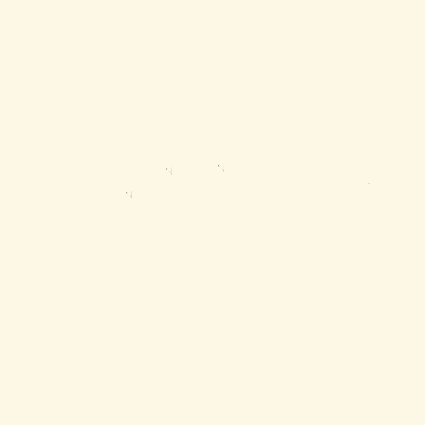 Cc1cc(C)cc(Cc2csc(N3CCN(S(=O)(=O)c4ccc(CBr)cc4)CC3)n2)c1